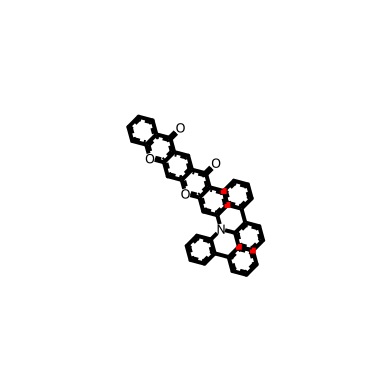 O=c1c2ccccc2oc2cc3oc4cc(N(c5ccccc5-c5ccccc5)c5ccccc5-c5ccccc5)ccc4c(=O)c3cc12